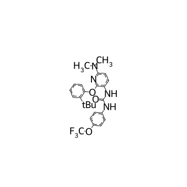 CN(C)c1ccc(NC(=O)Nc2ccc(OC(F)(F)F)cc2)c(Oc2ccccc2C(C)(C)C)n1